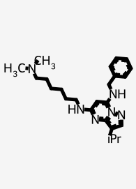 CC(C)c1cnn2c(NCc3ccccc3)cc(NCCCCCCN(C)C)nc12